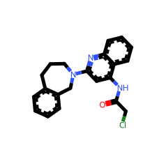 O=C(CCl)Nc1cc(N2CCCc3ccccc3C2)nc2ccccc12